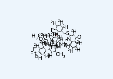 [2H]c1c([2H])c(F)c(F)c(CSc2c([2H])c(=O)c3c([2H])c([2H])c([2H])c([2H])c3n2CC(=O)N(Cc2c([2H])c([2H])c(-c3c([2H])c([2H])c(C(F)(F)F)c([2H])c3[2H])c([2H])c2C)C2([2H])C([2H])([2H])C([2H])([2H])N(C([2H])([2H])C([2H])([2H])OC)C([2H])([2H])C2([2H])[2H])c1[2H]